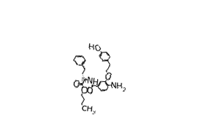 CCCCOC(=O)[C@H](CCc1ccccc1)NC(=O)c1ccc(N)c(OCCc2ccc(O)cc2)c1